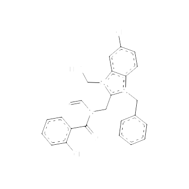 CCn1c(CN(C=O)C(=O)c2ccccc2C)[n+](Cc2ccccc2)c2ccc(Cl)cc21